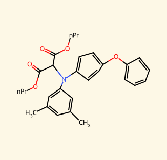 CCCOC(=O)C(C(=O)OCCC)N(c1ccc(Oc2ccccc2)cc1)c1cc(C)cc(C)c1